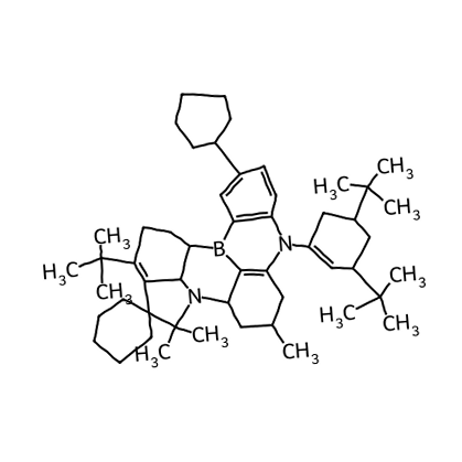 CC1CC2=C3B(c4cc(C5CCCCC5)ccc4N2C2=CC(C(C)(C)C)CC(C(C)(C)C)C2)C2CCC(C(C)(C)C)=C4C2N(C3C1)C(C)(C)C41CCCCC1